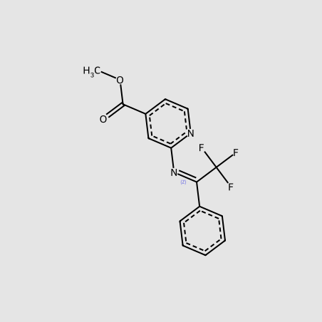 COC(=O)c1ccnc(/N=C(/c2ccccc2)C(F)(F)F)c1